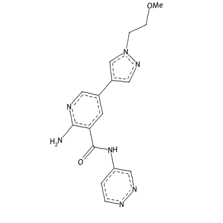 COCCn1cc(-c2cnc(N)c(C(=O)Nc3ccnnc3)c2)cn1